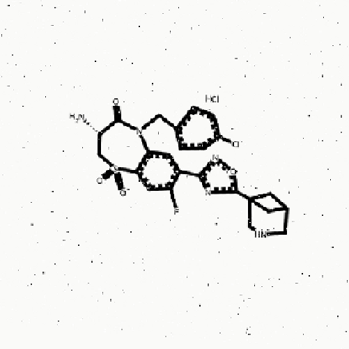 Cl.N[C@H]1CS(=O)(=O)c2cc(F)c(-c3noc(C45CNCC(C4)C5)n3)cc2N(Cc2ccc(Cl)cc2)C1=O